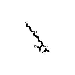 CC(=O)NC(CCCCNC=CC=O)C(=O)O